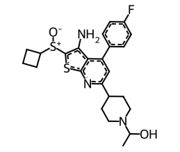 CC(O)N1CCC(c2cc(-c3ccc(F)cc3)c3c(N)c([S+]([O-])C4CCC4)sc3n2)CC1